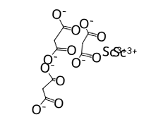 O=C([O-])CC(=O)[O-].O=C([O-])CC(=O)[O-].O=C([O-])CC(=O)[O-].[Sc+3].[Sc+3]